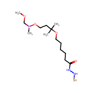 COCP(C)OCCC(C)(C)OCCCCCC(=O)NNS